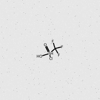 O=[SH](O)(Cl)C(F)(F)F